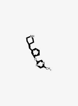 Cc1cnc(Oc2cccc(C=C3CCNCC3)c2)cn1